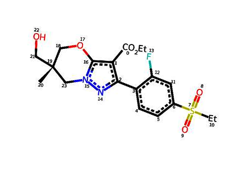 CCOC(=O)c1c(-c2ccc(S(=O)(=O)CC)cc2F)nn2c1OC[C@@](C)(CO)C2